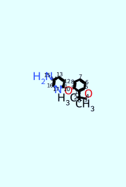 CC1(C)COc2cccc(Oc3ccc(N)cn3)c21